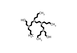 CCCCN(CCO)CCN(CCCC)CCN(CCCC)CCN(CCO)CCCC